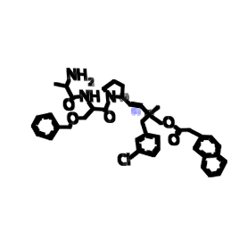 CC(N)C(=O)NC(COCc1ccccc1)C(=O)N1CCC[C@H]1/C=C/[C@](C)(COC(=O)Cc1ccc2ccccc2c1)Cc1cccc(Cl)c1